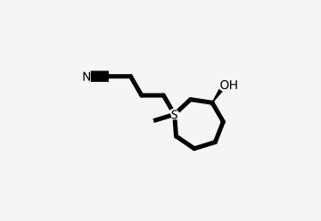 CS1(CCCC#N)CCCC[C@H](O)C1